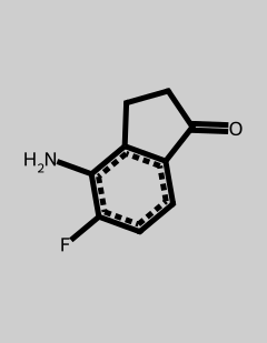 Nc1c(F)ccc2c1CCC2=O